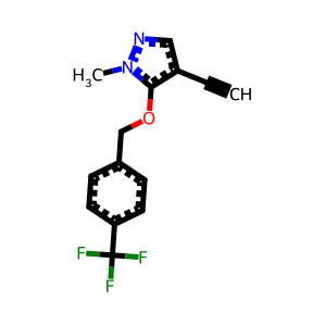 C#Cc1cnn(C)c1OCc1ccc(C(F)(F)F)cc1